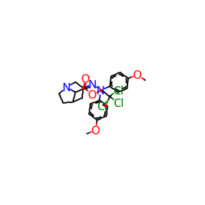 COc1ccc(N(N=C2CC3CCN(C2)C3C(=O)OCC(Cl)(Cl)Cl)c2ccc(OC)cc2)cc1